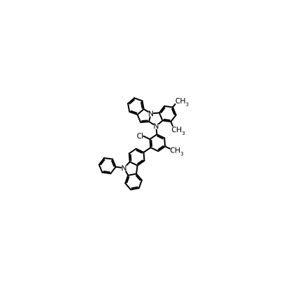 Cc1cc(-c2ccc3c(c2)c2ccccc2n3-c2ccccc2)c(Cl)c(-n2c3c(C)cc(C)cc3n3c4ccccc4cc23)c1